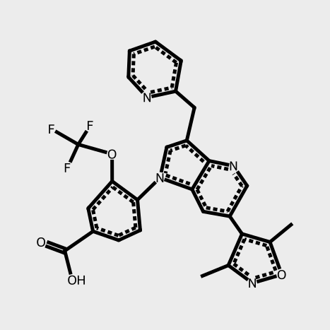 Cc1noc(C)c1-c1cnc2c(Cc3ccccn3)cn(-c3ccc(C(=O)O)cc3OC(F)(F)F)c2c1